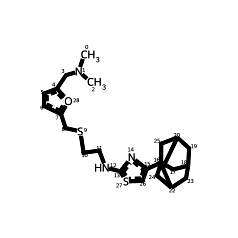 CN(C)Cc1ccc(CSCCNc2nc(C34CC5CC(CC(C5)C3)C4)cs2)o1